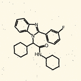 O=C(NC1CCCCC1)C(C1CCCCC1)n1c(-c2cccc(F)c2)nc2ccccc21